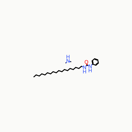 CCCCCCCCCCCCCCCCCCNC(=O)Nc1ccccc1.CNC